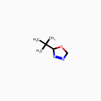 CC(C)(C)C1N=NCO1